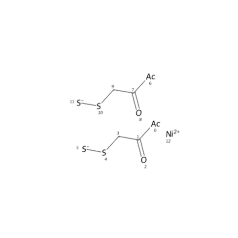 CC(=O)C(=O)CS[S-].CC(=O)C(=O)CS[S-].[Ni+2]